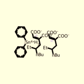 CCCCC(CC)C/C(=C/C(=O)[O-])C(=O)[O-].CCCCC(CC)C/C(=C/C(=O)[O-])C(=O)[O-].c1cc[c]([SnH2+4][c]2ccccc2)cc1